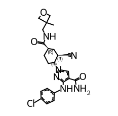 CC1(CNC(=O)[C@@H]2CC[C@@H](n3cc(C(N)=O)c(Nc4ccc(Cl)cc4)n3)[C@H](C#N)C2)COC1